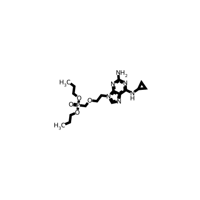 CCCOP(=O)(COCCn1cnc2c(NC3CC3)nc(N)nc21)OCCC